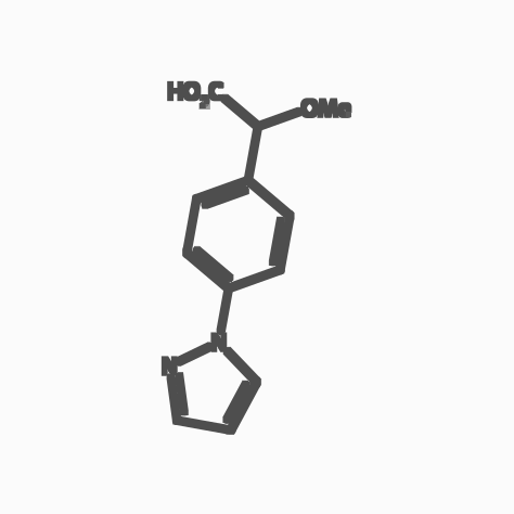 COC(C(=O)O)c1ccc(-n2cccn2)cc1